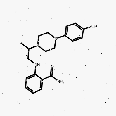 CC(CNc1ccccc1C(N)=O)N1CCN(c2ccc(O)cc2)CC1